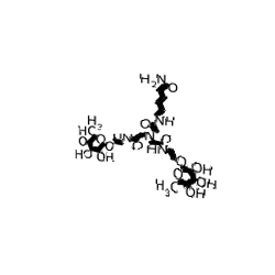 C[C@@H]1O[C@@H](OCCNC(=O)CN(CC(=O)NCCCCCC(N)=O)CC(=O)NCCO[C@@H]2O[C@@H](C)[C@@H](O)[C@@H](O)[C@@H]2O)[C@@H](O)[C@H](O)[C@@H]1O